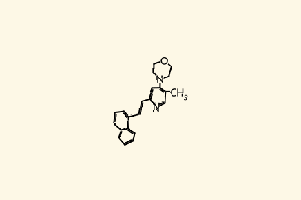 Cc1cnc(/C=C/c2cccc3ccccc23)cc1N1CCOCC1